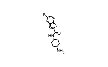 N[C@H]1CC[C@H](NC(=O)c2nc3ccc(F)cc3s2)CC1